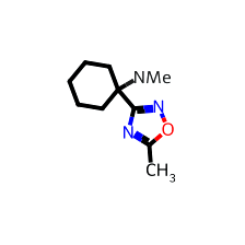 CNC1(c2noc(C)n2)CCCCC1